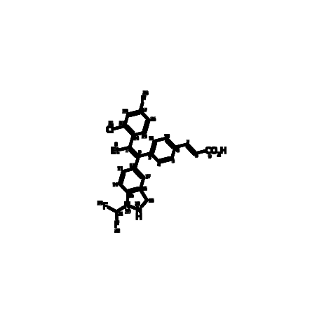 CC/C(=C(/c1ccc(/C=C/C(=O)O)cc1)c1ccc2c(c1)CNN2C(F)F)c1ccc(F)cc1Cl